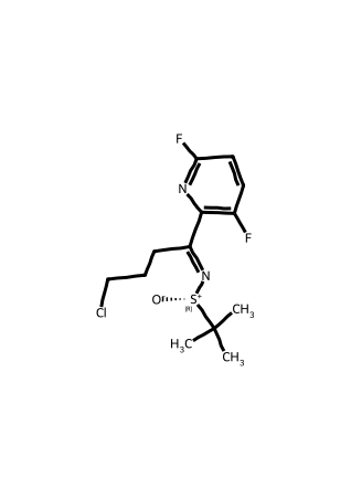 CC(C)(C)[S@+]([O-])N=C(CCCCl)c1nc(F)ccc1F